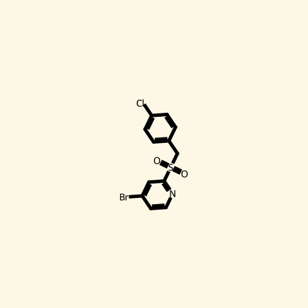 O=S(=O)(Cc1ccc(Cl)cc1)c1cc(Br)ccn1